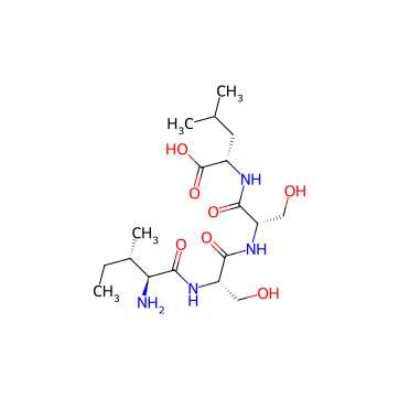 CC[C@H](C)[C@H](N)C(=O)N[C@@H](CO)C(=O)N[C@@H](CO)C(=O)N[C@@H](CC(C)C)C(=O)O